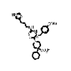 COc1ccc(C[C@@H](NC(=S)NCCCc2c[nH]cn2)C(=O)N2CCC(C(=O)O)(C3CCCCC3)CC2)cc1